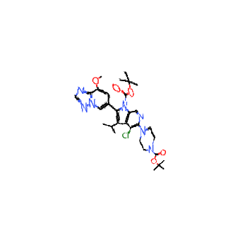 COc1cc(-c2c(C(C)C)c3c(Cl)c(N4CCN(C(=O)OC(C)(C)C)CC4)ncc3n2C(=O)OC(C)(C)C)cn2ncnc12